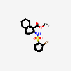 COC(=O)c1c(NS(=O)(=O)c2ccccc2Br)ccc2c1CCCC2